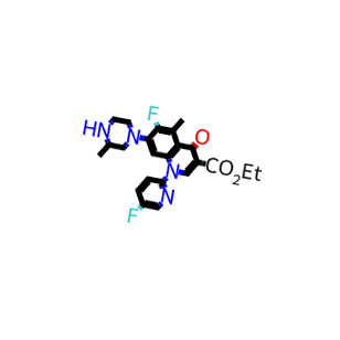 CCOC(=O)c1cn(-c2ccc(F)cn2)c2cc(N3CCNC(C)C3)c(F)c(C)c2c1=O